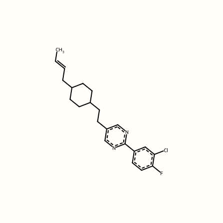 C/C=C/CC1CCC(CCc2cnc(-c3ccc(F)c(Cl)c3)nc2)CC1